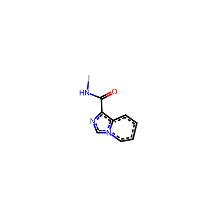 O=C(NI)c1ncn2ccccc12